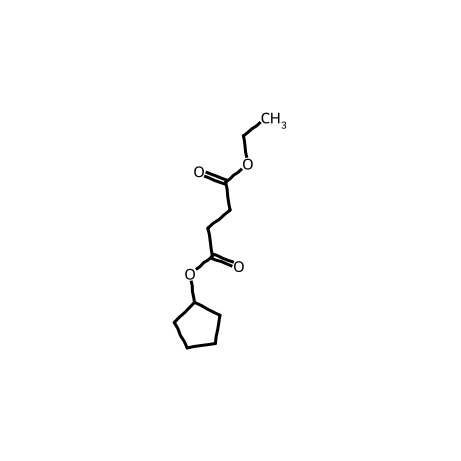 CCOC(=O)CCC(=O)OC1CCCC1